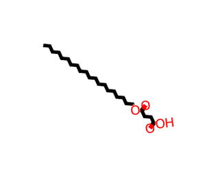 CCCCCCCCCCCCCCCCCCCCOC(=O)CCC(=O)O